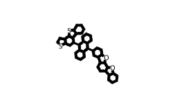 c1ccc2c(c1)oc1c2ccc2c3cc(-c4c5ccccc5c(-c5cc6sccc6c6sc7ccccc7c56)c5ccccc45)ccc3oc21